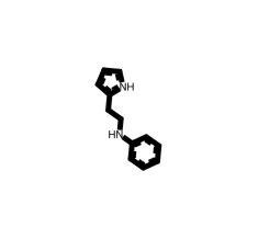 c1ccc(NCCc2ccc[nH]2)cc1